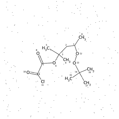 CC(CC(C)(C)OC(=O)C(=O)Cl)OOC(C)(C)C